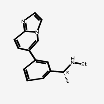 CCN[C@H](C)c1cccc(-c2ccc3nccn3c2)c1